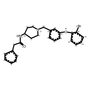 O=C(Cc1ccccc1)NC1CCN(Cc2cccc(Oc3ccccc3Br)c2)CC1